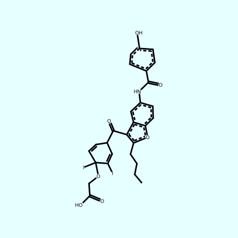 CCCCc1oc2ccc(NC(=O)c3ccc(O)cc3)cc2c1C(=O)C1C=CC(I)(OCC(=O)O)C(I)=C1